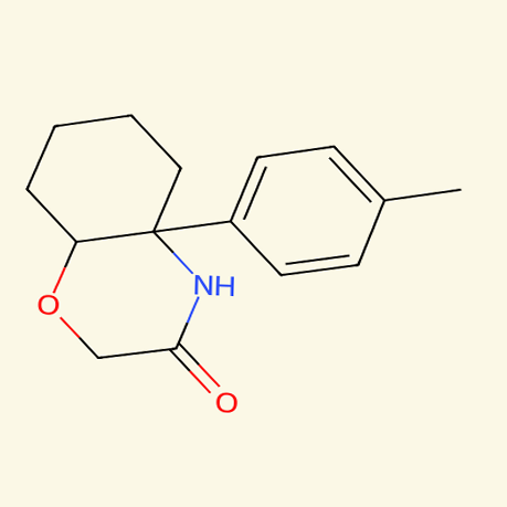 Cc1ccc(C23CCCCC2OCC(=O)N3)cc1